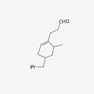 CC(C)CC1CC=C(CCC=O)C(C)C1